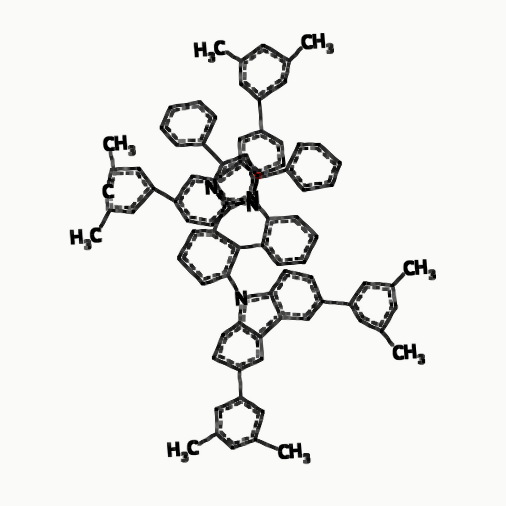 Cc1cc(C)cc(-c2ccc3c(c2)c2cc(-c4cc(C)cc(C)c4)ccc2n3-c2ccccc2-c2c(-c3nc(-c4ccccc4)cc(-c4ccccc4)n3)cccc2-n2c3ccc(-c4cc(C)cc(C)c4)cc3c3cc(-c4cc(C)cc(C)c4)ccc32)c1